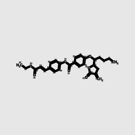 C=C1CC(C(CCCC)Oc2ccc(C(=O)Oc3ccc(/C=C/C(=O)OCC)cc3)cc2)OC1=O